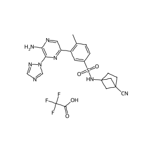 Cc1ccc(S(=O)(=O)NC23CCC(C#N)(C2)C3)cc1-c1cnc(N)c(-n2cncn2)n1.O=C(O)C(F)(F)F